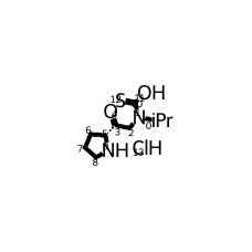 CC(C)N(CC(=O)[C@H]1CCCN1)C(O)=S.Cl